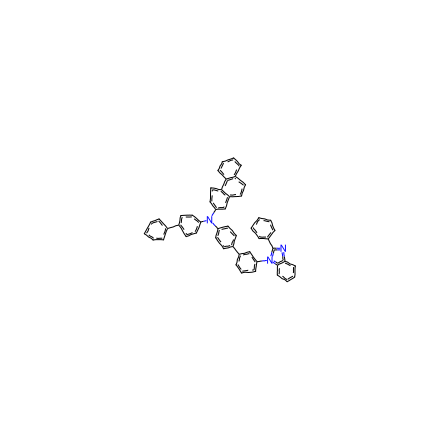 c1ccc(-c2ccc(N(c3ccc(-c4cccc(-n5c(-c6ccccc6)nc6ccccc65)c4)cc3)c3ccc4c(ccc5ccccc54)c3)cc2)cc1